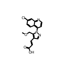 COCc1c(/C=C/C(=O)O)cnn1-c1ccnc2cc(Cl)ccc12